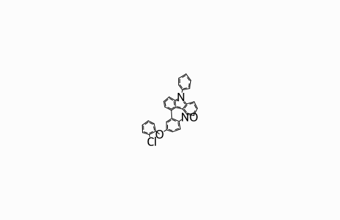 O=Nc1ccc(Oc2ccccc2Cl)cc1-c1cccc2c1c1ccccc1n2-c1ccccc1